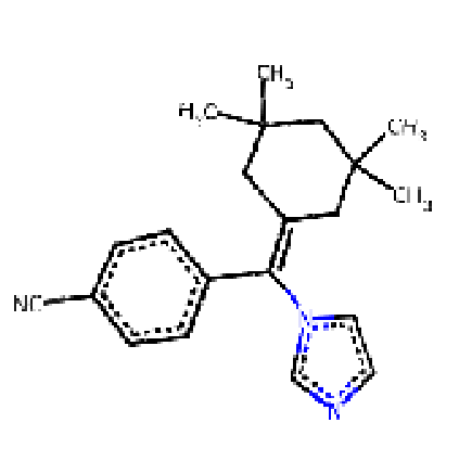 CC1(C)CC(=C(c2ccc(C#N)cc2)n2ccnc2)CC(C)(C)C1